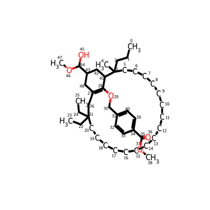 CCCC1(C)CCCCCCCCCCCCCCCCC(CC)(CC)CC2=C(OCc3ccc(C(=O)OC)cc3)C1CC(C(O)OC)C2